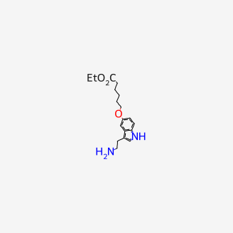 CCOC(=O)CCCCCOc1ccc2[nH]cc(CCN)c2c1